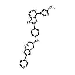 Cc1cn(-c2nccc3[nH]c(-c4ccc(NC(=O)Cc5cc(-c6ccncc6)nn5C)cc4)cc23)cn1